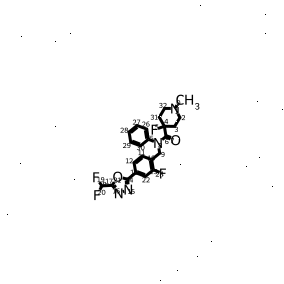 CN1CCC(F)(C(=O)N(Cc2ccc(-c3nnc(C(F)F)o3)cc2F)c2ccccc2)CC1